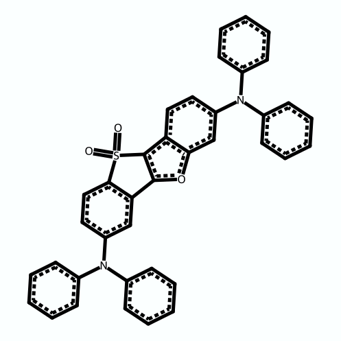 O=S1(=O)c2ccc(N(c3ccccc3)c3ccccc3)cc2-c2oc3cc(N(c4ccccc4)c4ccccc4)ccc3c21